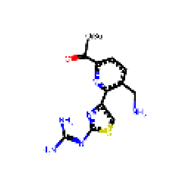 CC(C)COC(=O)c1ccc(CN)c(-c2csc(N=C(N)N)n2)n1